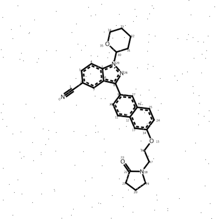 N#Cc1ccc2c(c1)c(-c1ccc3cc(OCCN4CCCC4=O)ccc3c1)nn2C1CCCCO1